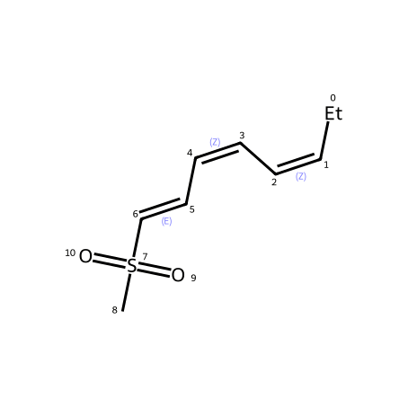 CC\C=C/C=C\C=C\S(C)(=O)=O